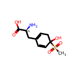 CS(=O)(=O)C1(O)C=CC(C[C@H](N)C(=O)O)=CC1